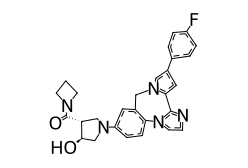 O=C([C@@H]1CN(c2ccc3c(c2)Cn2cc(-c4ccc(F)cc4)cc2-c2nccn2-3)C[C@H]1O)N1CCC1